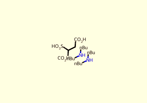 CCCCNCCCC.CCCCNCCCC.O=C(O)CC(C(=O)O)S(=O)(=O)O